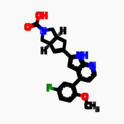 COc1ccc(F)cc1-c1ccnc2[nH]c(C3=C[C@H]4CN(C(=O)O)C[C@H]4C3)cc12